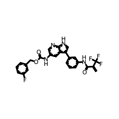 C=C(C(=O)Nc1cccc(-c2c[nH]c3ncc(NC(=O)OCc4cccc(F)c4)cc23)c1)C(F)(F)F